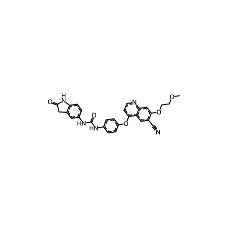 COCCOc1cc2nccc(Oc3ccc(NC(=O)Nc4ccc5c(c4)CC(=O)N5)cc3)c2cc1C#N